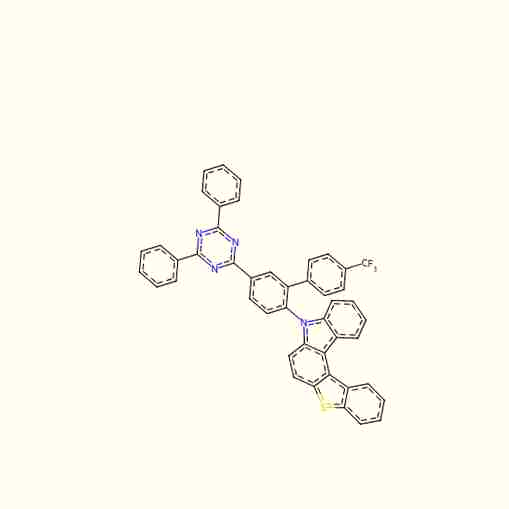 FC(F)(F)c1ccc(-c2cc(-c3nc(-c4ccccc4)nc(-c4ccccc4)n3)ccc2-n2c3ccccc3c3c4c(ccc32)sc2ccccc24)cc1